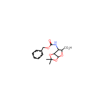 CC1(C)OC2OC(C(=O)O)C(NC(=O)OCc3ccccc3)C2O1